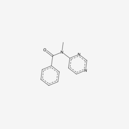 CN(C(=O)c1ccccc1)c1ccncn1